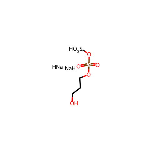 O=S(=O)(O)OS(=O)(=O)OCCCO.[NaH].[NaH]